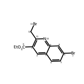 CCOC(=O)c1cc2ccc(Br)cc2nc1CBr